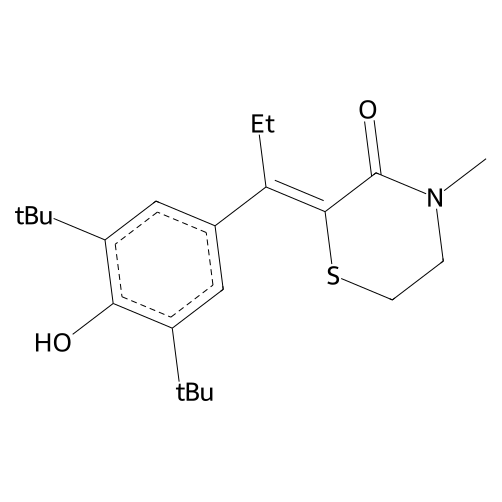 CC/C(=C1/SCCN(C)C1=O)c1cc(C(C)(C)C)c(O)c(C(C)(C)C)c1